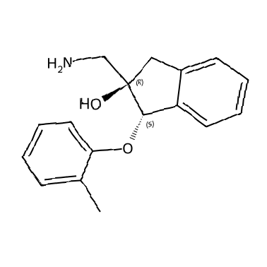 Cc1ccccc1O[C@H]1c2ccccc2C[C@@]1(O)CN